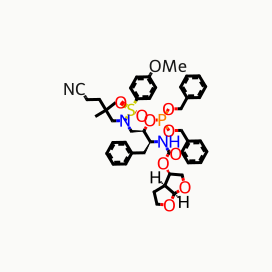 COc1ccc(S(=O)(=O)N(C[C@@H](OP(OCc2ccccc2)OCc2ccccc2)[C@H](Cc2ccccc2)NC(=O)O[C@H]2CO[C@H]3OCC[C@H]32)CC(C)(C)CCC#N)cc1